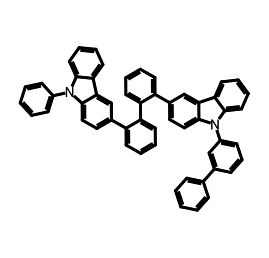 c1ccc(-c2cccc(-n3c4ccccc4c4cc(-c5ccccc5-c5ccccc5-c5ccc6c(c5)c5ccccc5n6-c5ccccc5)ccc43)c2)cc1